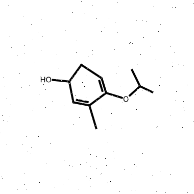 CC1=CC(O)CC=C1OC(C)C